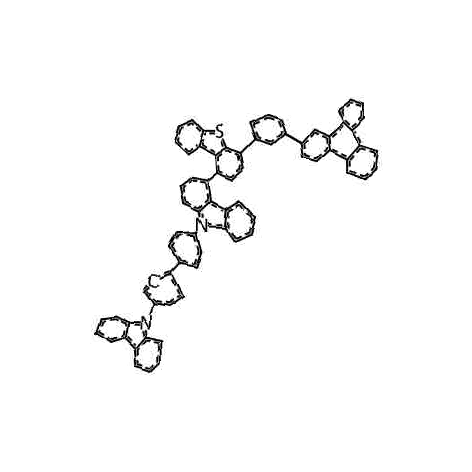 c1cc(-c2ccc3c4ccccc4c4ccccc4c3c2)cc(-c2ccc(-c3cccc4c3c3ccccc3n4-c3ccc(-c4ccc(-n5c6ccccc6c6ccccc65)cc4)cc3)c3c2sc2ccccc23)c1